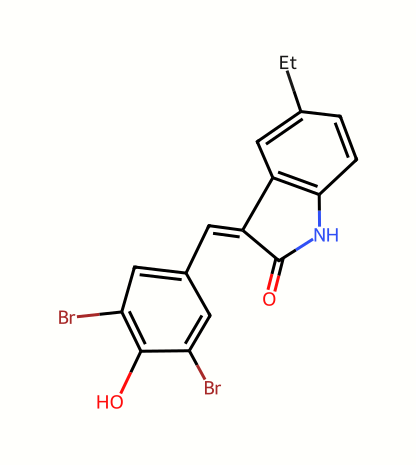 CCc1ccc2c(c1)C(=Cc1cc(Br)c(O)c(Br)c1)C(=O)N2